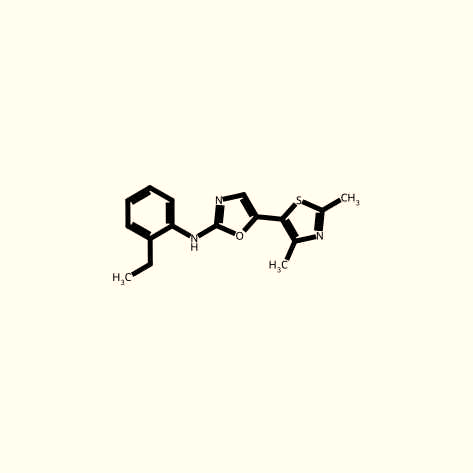 CCc1ccccc1Nc1ncc(-c2sc(C)nc2C)o1